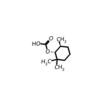 C[C@H]1CCCC(C)(C)[C@@H]1OC(=O)O